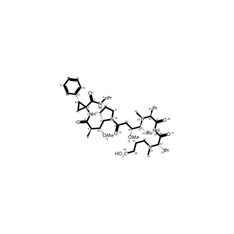 CCCNC(=O)[C@]1(NC(=O)[C@H](C)[C@@H](OC)[C@@H]2CCCN2C(=O)C[C@@H](OC)[C@H]([C@@H](C)CC)N(C)[C@H](C(=O)NC(=O)[C@H](C(C)C)N(C)CCCC(=O)O)C(C)C)C[C@@H]1c1ccccc1